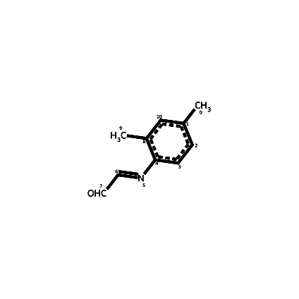 Cc1ccc(N=CC=O)c(C)c1